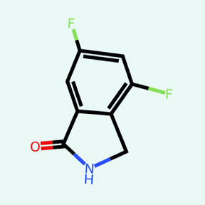 O=C1NCc2c(F)cc(F)cc21